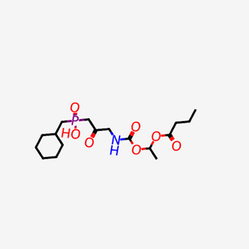 CCCC(=O)OC(C)OC(=O)NCC(=O)CP(=O)(O)CC1CCCCC1